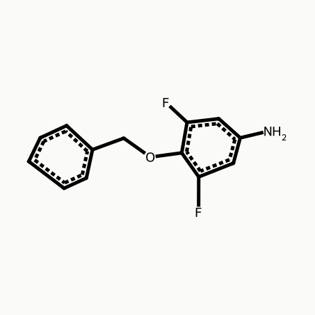 Nc1cc(F)c(OCc2ccccc2)c(F)c1